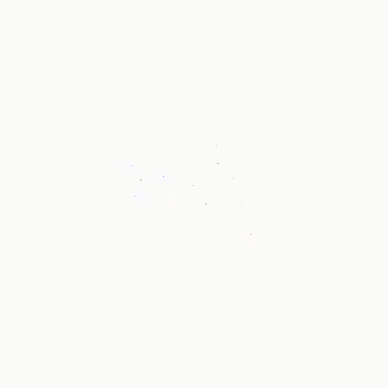 CS(=O)(=O)O.NC(N)=NC(=O)c1cccc(-c2ccoc2)c1